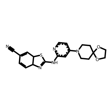 N#CC1=CC2SC(Nc3cc(N4CCC5(CC4)OCCO5)ccn3)=NC2C=C1